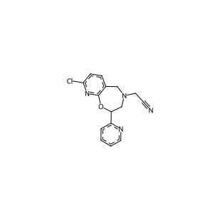 N#CCN1Cc2ccc(Cl)nc2OC(c2ccccn2)C1